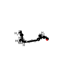 Cc1ncsc1-c1ccc(CNC(=O)[C@@H]2C[C@@H](O)CN2C(=O)[C@@H](NC(=O)COCCOCCOCCOCCN2CCC(n3nc(-c4ccc(Oc5ccccc5)cc4)c4c(N)ncnc43)CC2)C(C)(C)C)cc1